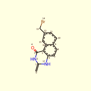 C=C1NC(=O)c2c(ccc3ccc(CBr)cc23)N1